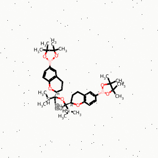 C[SiH](C)C(OC([C@H]1CCc2cc(B3OC(C)(C)C(C)(C)O3)ccc2O1)([SiH](C)C)C(C)(C)C)([C@H]1CCc2cc(B3OC(C)(C)C(C)(C)O3)ccc2O1)C(C)(C)C